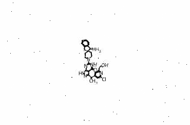 C=C(c1cc(Cl)nc(CO)c1)c1n[nH]c2nc(N3CCC4(CC3)Cc3ccccc3[C@H]4N)[nH]c(=O)c12